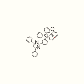 c1ccc(-c2cc(-c3ccccc3)nc(-c3cccc([Si](c4ccccc4)(c4ccccc4)c4cccc5oc6ccccc6c45)c3)n2)cc1